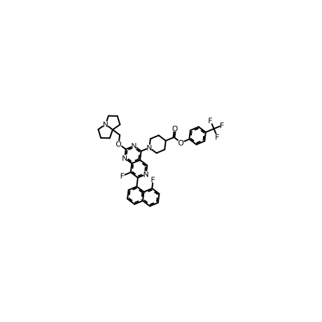 O=C(Oc1ccc(C(F)(F)F)cc1)C1CCN(c2nc(OCC34CCCN3CCC4)nc3c(F)c(-c4cccc5cccc(F)c45)ncc23)CC1